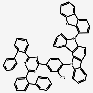 N#Cc1cc(-c2nc(-c3ccccc3-c3ccccc3)nc(-c3ccccc3-c3ccccc3)n2)ccc1-n1c2ccccc2c2ccc3c(c4ccccc4n3-c3cccc4c3oc3ccccc34)c21